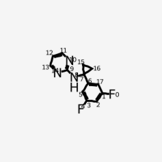 Fc1cc(F)cc(C2(Nc3ncccn3)CC2)c1